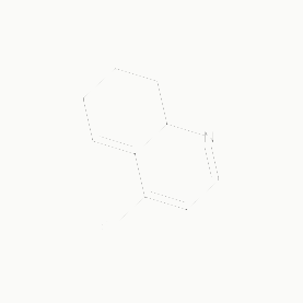 ClC1=CC=NC2CCCC=C12